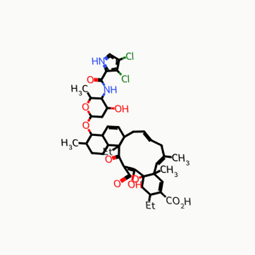 CCC1CC23OC(=O)C(=C2O)C(=O)C2(CC)C(C=CC4C(OC5CC(O)C(NC(=O)c6[nH]cc(Cl)c6Cl)C(C)O5)C(C)CCC42)C/C=C/C/C(C)=C/C3(C)C=C1C(=O)O